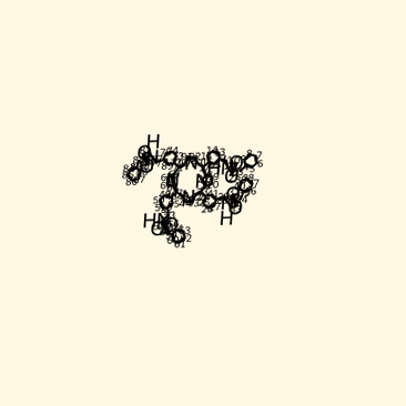 O=S(=O)(Cc1ccccc1)NCc1cccc(C2=C3C=CC(=N3)C(c3cccc(CNS(=O)(=O)Cc4ccccc4)c3)=C3C=CC(=N3)C(c3cccc(CNS(=O)(=O)Cc4ccccc4)c3)=C3C=CC(=N3)C(c3cccc(CNS(=O)(=O)Cc4ccccc4)c3)=C3C=CC2=N3)c1